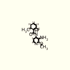 COc1nccc(NC(=O)C2=C(F)C=CCC2C)c1N